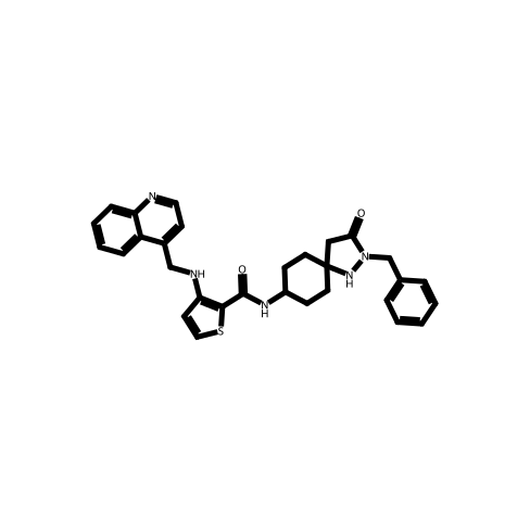 O=C(NC1CCC2(CC1)CC(=O)N(Cc1ccccc1)N2)c1sccc1NCc1ccnc2ccccc12